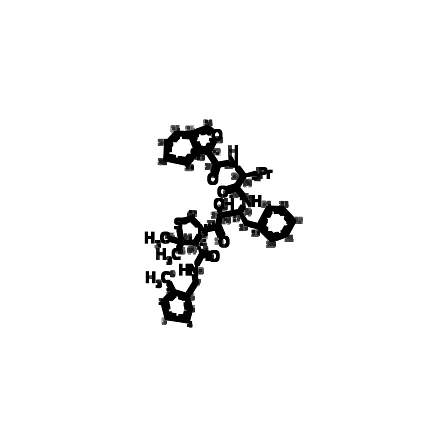 Cc1ccccc1CNC(=O)[C@H]1N(C(=O)[C@@H](O)[C@H](Cc2ccccc2)NC(=O)[C@@H](NC(=O)c2occ3ccccc23)C(C)C)CSC1(C)C